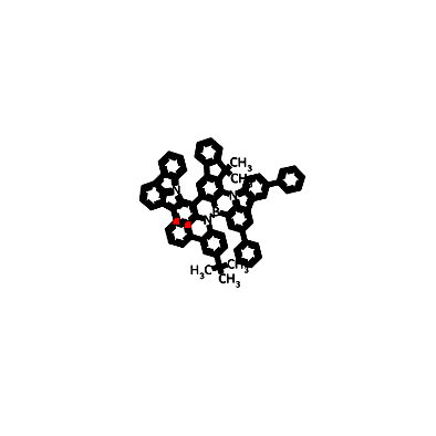 CC(C)(C)c1ccc(N2B3c4c(cc5c(c4-n4c6ccc(-c7ccccc7)cc6c6cc(-c7ccccc7)cc3c64)C(C)(C)c3ccccc3-5)-c3c2ccc2c4cccc5c6ccccc6n(c32)c54)c(-c2ccccc2)c1